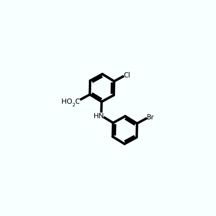 O=C(O)c1ccc(Cl)cc1Nc1cccc(Br)c1